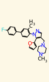 Cc1cc(-c2ccc(F)cc2)ccc1-n1ncc(CN2CCN(C)CC2)c1-c1ccco1